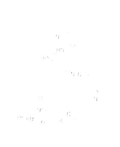 Cc1cccc(C(=O)Nc2cc3cn([C@H]4CC[C@H](CN(C)CCC5CCN(C(=O)c6ccc(Cl)c(N7CCC(=O)NC7=O)c6)CC5)CC4)nc3cc2C(C)(C)O)n1